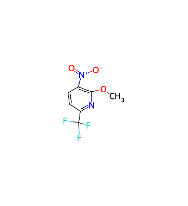 COc1nc(C(F)(F)F)ccc1[N+](=O)[O-]